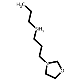 CCC[SiH2]CCCN1CCOC1